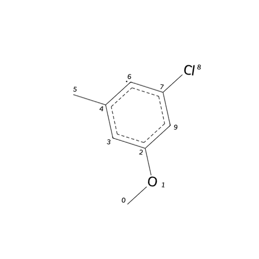 COc1cc(C)[c]c(Cl)c1